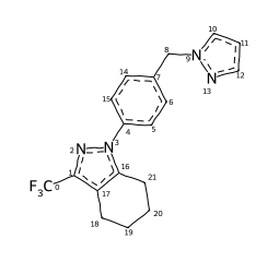 FC(F)(F)c1nn(-c2ccc(Cn3cccn3)cc2)c2c1CCCC2